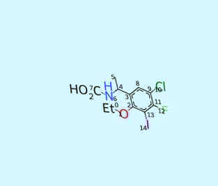 CCOc1c(C(C)NC(=O)O)cc(Cl)c(F)c1I